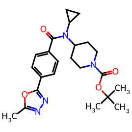 Cc1nnc(-c2ccc(C(=O)N(C3CC3)C3CCN(C(=O)OC(C)(C)C)CC3)cc2)o1